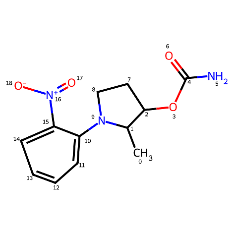 CC1C(OC(N)=O)CCN1c1ccccc1[N+](=O)[O-]